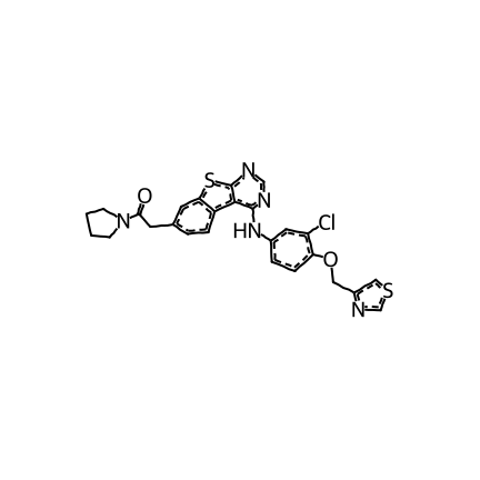 O=C(Cc1ccc2c(c1)sc1ncnc(Nc3ccc(OCc4cscn4)c(Cl)c3)c12)N1CCCC1